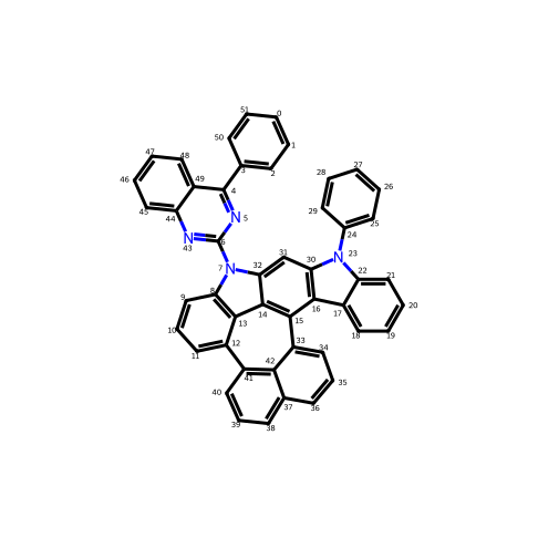 c1ccc(-c2nc(-n3c4cccc5c4c4c(c6c7ccccc7n(-c7ccccc7)c6cc43)-c3cccc4cccc-5c34)nc3ccccc23)cc1